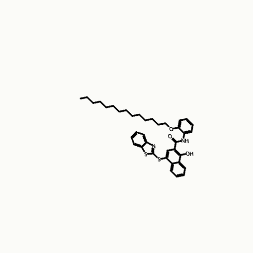 CCCCCCCCCCCCCCOc1ccccc1NC(=O)c1cc(Sc2nc3ccccc3s2)c2ccccc2c1O